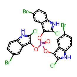 O=P(Oc1c(Cl)[nH]c2ccc(Br)cc12)(Oc1c(Cl)[nH]c2ccc(Br)cc12)Oc1c(Cl)[nH]c2ccc(Br)cc12